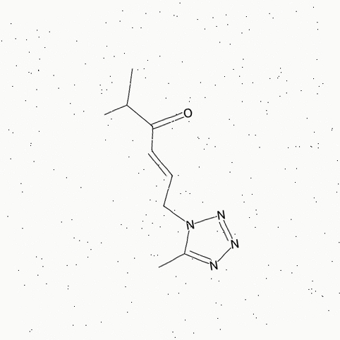 Cc1nnnn1C/C=C/C(=O)C(C)C